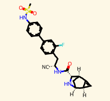 CS(=O)(=O)Nc1ccc(-c2ccc(C[C@@H](C#N)NC(=O)[C@H]3N[C@H]4C[C@@H]3C3=C[C@H]34)c(F)c2)cc1